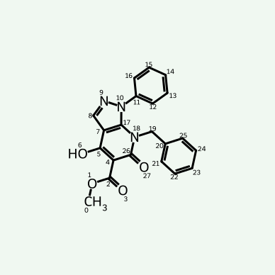 COC(=O)c1c(O)c2cnn(-c3ccccc3)c2n(Cc2ccccc2)c1=O